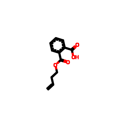 C=CCCOC(=O)c1ccccc1C(=O)O